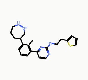 Cc1c(-c2ccnc(NCCc3cccs3)n2)cccc1C1CCCNNC1